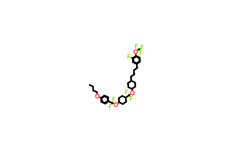 CCCCOc1ccc(C(F)(F)OC2CCC(C(F)(F)OC3CCC(CCCCc4ccc(OC(F)(F)F)c(F)c4)CC3)CC2)cc1